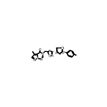 Cc1ccc([C@H]2C[C@H](c3noc(Cn4cnn5ncc(C)c5c4=O)n3)CO2)cc1